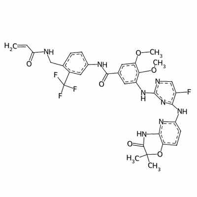 C=CC(=O)NCc1ccc(NC(=O)c2cc(Nc3ncc(F)c(Nc4ccc5c(n4)NC(=O)C(C)(C)O5)n3)c(OC)c(OC)c2)cc1C(F)(F)F